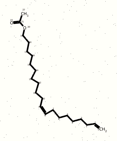 C=CCCCCCC/C=C\CCCCCCCCCCOC(C)=O